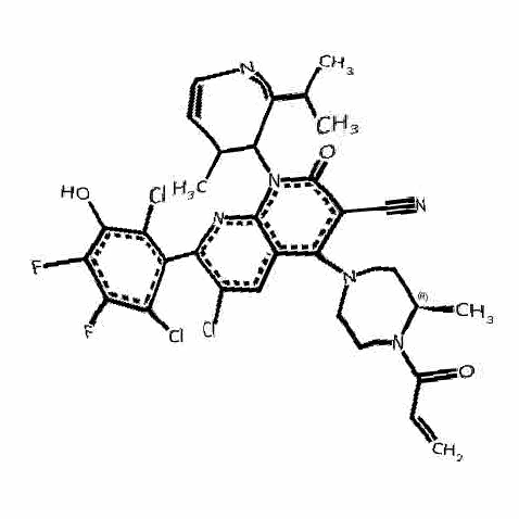 C=CC(=O)N1CCN(c2c(C#N)c(=O)n(C3C(C(C)C)=NC=CC3C)c3nc(-c4c(Cl)c(O)c(F)c(F)c4Cl)c(Cl)cc23)C[C@H]1C